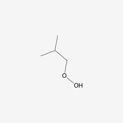 CC(C)COO